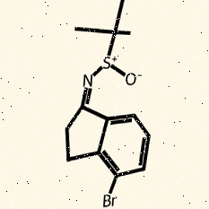 CC(C)(C)[S+]([O-])/N=C1/CCc2c(Br)cccc21